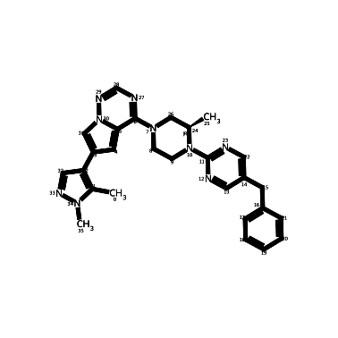 Cc1c(-c2cc3c(N4CCN(c5ncc(Cc6ccccc6)cn5)[C@H](C)C4)ncnn3c2)cnn1C